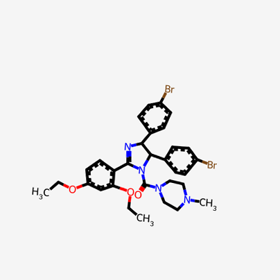 CCOc1ccc(C2=NC(c3ccc(Br)cc3)C(c3ccc(Br)cc3)N2C(=O)N2CCN(C)CC2)c(OCC)c1